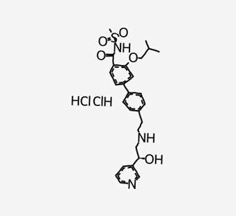 CC(C)COc1cc(-c2ccc(CCNC[C@@H](O)c3cccnc3)cc2)ccc1C(=O)NS(C)(=O)=O.Cl.Cl